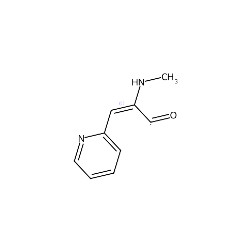 CN/C([C]=O)=C/c1ccccn1